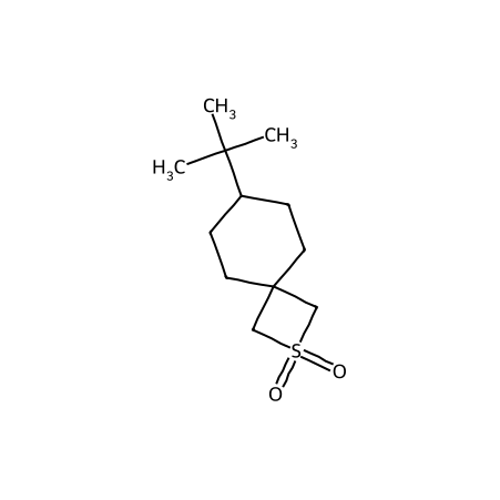 CC(C)(C)C1CCC2(CC1)CS(=O)(=O)C2